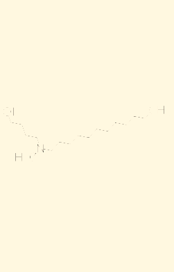 CCCCCCCCCCCCN(C)CCCCO